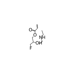 C=CC(=O)OCC(O)CF.CCNCC